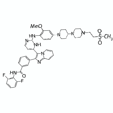 COc1cc(N2CCC(N3CCN(CCS(C)(=O)=O)CC3)CC2)ccc1NC1N=CC=C(c2c(-c3cccc(C(=O)Nc4c(F)cccc4F)c3)nc3ccccn23)N1